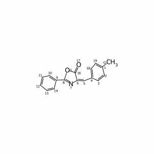 Cc1ccc(C=C2N=C(c3ccccc3)OC2=O)cc1